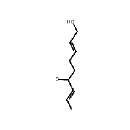 CC=CC(O)CCC=CCO